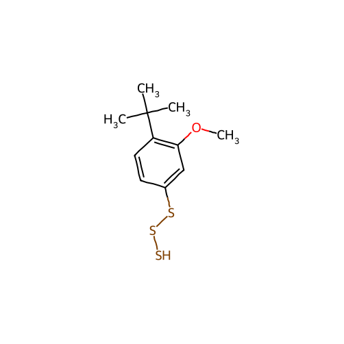 COc1cc(SSS)ccc1C(C)(C)C